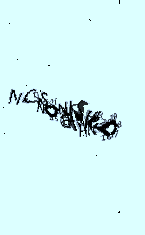 N#Cc1nc2ccc(NC(=O)NNC(=S)Nc3ccccc3)cc2s1